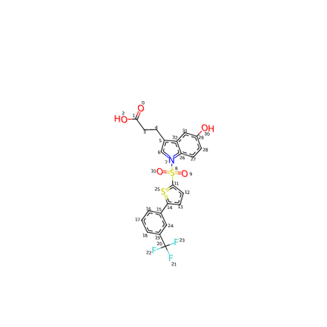 O=C(O)CCc1cn(S(=O)(=O)c2ccc(-c3cccc(C(F)(F)F)c3)s2)c2ccc(O)cc12